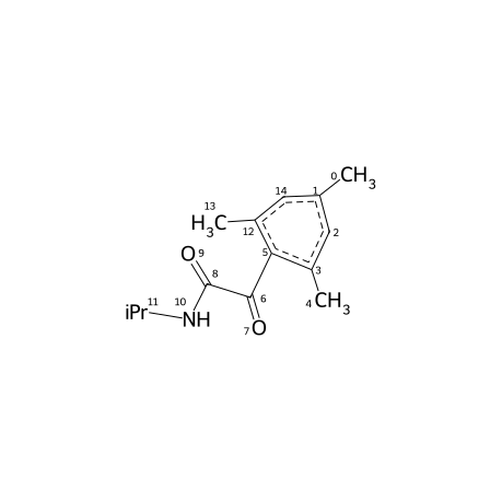 Cc1cc(C)c(C(=O)C(=O)NC(C)C)c(C)c1